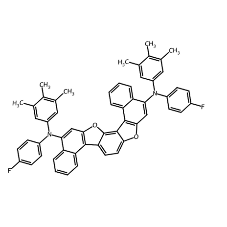 Cc1cc(N(c2ccc(F)cc2)c2cc3oc4c(ccc5oc6cc(N(c7ccc(F)cc7)c7cc(C)c(C)c(C)c7)c7ccccc7c6c54)c3c3ccccc23)cc(C)c1C